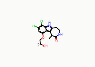 CC1C(=O)NCCc2[nH]c3c(Cl)c(Cl)cc(OC[C@@H](C)O)c3c21